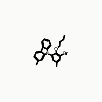 CCCCOc1c(Br)cc(C)cc1-n1c2ccccc2c2ccc(C)cc21